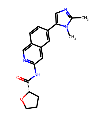 Cc1ncc(-c2ccc3cnc(NC(=O)[C@@H]4CCCO4)cc3c2)n1C